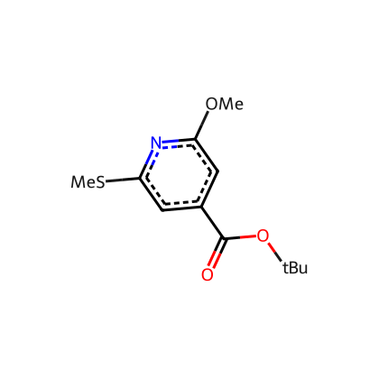 COc1cc(C(=O)OC(C)(C)C)cc(SC)n1